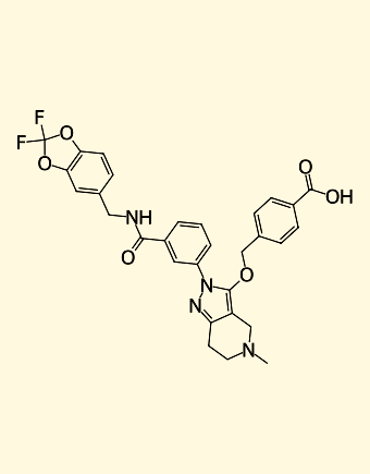 CN1CCc2nn(-c3cccc(C(=O)NCc4ccc5c(c4)OC(F)(F)O5)c3)c(OCc3ccc(C(=O)O)cc3)c2C1